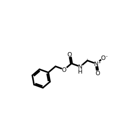 O=C(N[CH][N+](=O)[O-])OCc1ccccc1